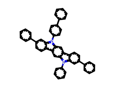 c1ccc(-c2ccc(-n3c4cc(-c5ccccc5)ccc4c4cc5c(cc43)c3ccc(-c4ccccc4)cc3n5-c3ccccc3)cc2)cc1